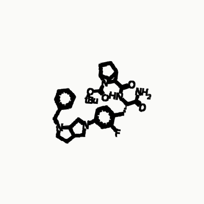 CC(C)(C)OC(=O)N1C2CCC(C2)C1C(=O)N[C@@H](Cc1ccc(N2CC3CCN(Cc4ccccc4)C3C2)cc1F)C(N)=O